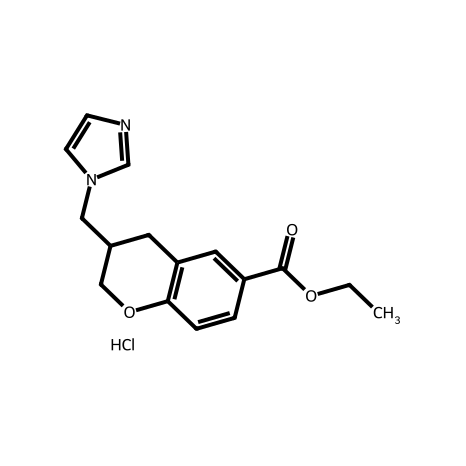 CCOC(=O)c1ccc2c(c1)CC(Cn1ccnc1)CO2.Cl